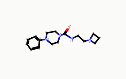 O=C(NCCN1CCC1)N1CCN(c2ccccc2)CC1